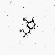 Cc1cnc(CC(C)O)cc1Br